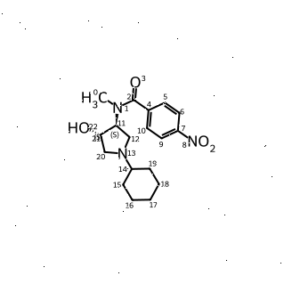 CN(C(=O)c1ccc([N+](=O)[O-])cc1)[C@H]1CN(C2CCCCC2)C[C@@H]1O